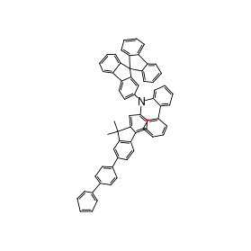 CC1(C)c2cc(-c3ccc(-c4ccccc4)cc3)ccc2-c2ccc(N(c3ccc4c(c3)C3(c5ccccc5-c5ccccc53)c3ccccc3-4)c3ccccc3-c3ccccc3)cc21